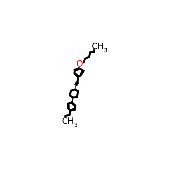 CCCCCCOc1ccc(C#C[C@H]2CC[C@H](c3ccc(CCC)cc3)CC2)cc1